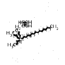 CCCCCCCCCCCCCCCC[PH](CCCC)(CCCC)CCCC.O=P(O)(O)O